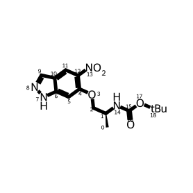 C[C@@H](COc1cc2[nH]ncc2cc1[N+](=O)[O-])NC(=O)OC(C)(C)C